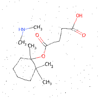 CC1(C)CCCCC1(C)OC(=O)CCC(=O)O.CNC